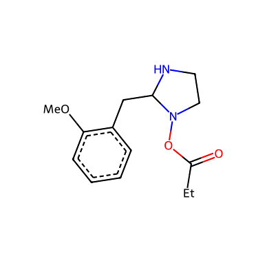 CCC(=O)ON1CCNC1Cc1ccccc1OC